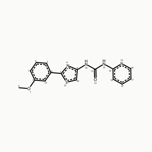 COc1cccc(-c2nc(NC(=O)Nc3ccccn3)cs2)c1